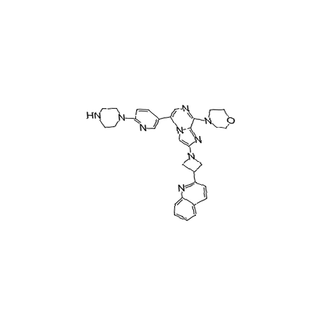 c1ccc2nc(C3CN(c4cn5c(-c6ccc(N7CCNCC7)nc6)cnc(N6CCOCC6)c5n4)C3)ccc2c1